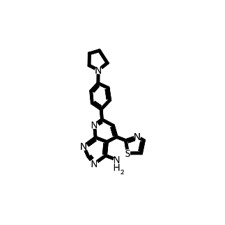 Nc1ncnc2nc(-c3ccc(N4CCCC4)cc3)cc(-c3nccs3)c12